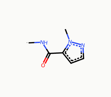 [CH2]NC(=O)c1ccnn1C